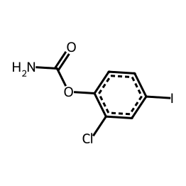 NC(=O)Oc1ccc(I)cc1Cl